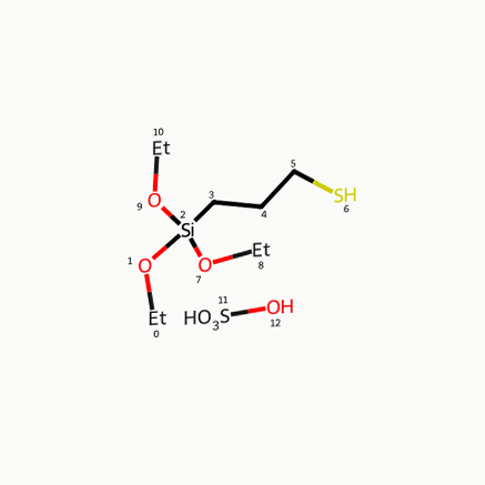 CCO[Si](CCCS)(OCC)OCC.O=S(=O)(O)O